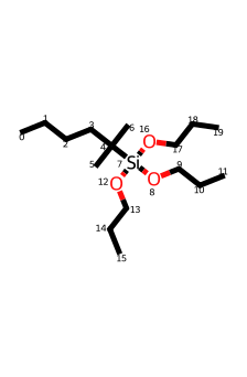 CCCCC(C)(C)[Si](OCCC)(OCCC)OCCC